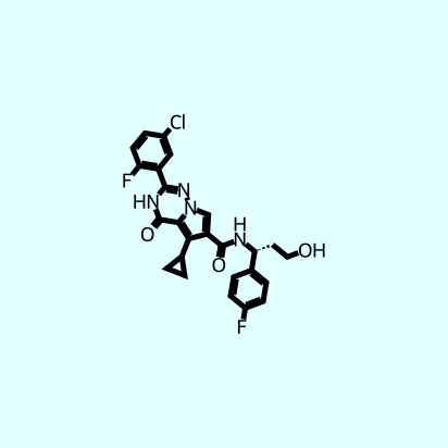 O=C(N[C@H](CCO)c1ccc(F)cc1)c1cn2nc(-c3cc(Cl)ccc3F)[nH]c(=O)c2c1C1CC1